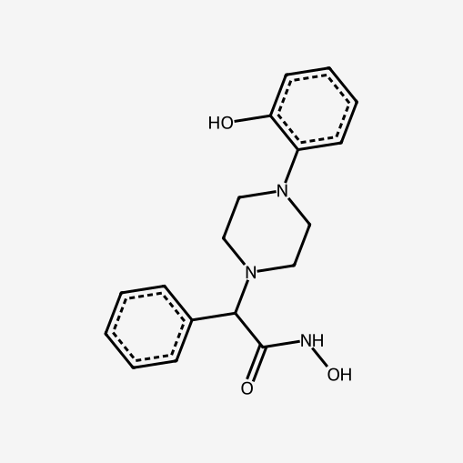 O=C(NO)C(c1ccccc1)N1CCN(c2ccccc2O)CC1